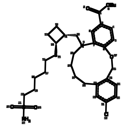 CC(C)COC(=O)c1ccc2c(c1)N(C[C@H]1CC[C@@H]1SCCCCCS(N)(=O)=O)CCCCc1cc(Cl)ccc1CO2